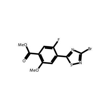 COC(=O)c1cc(F)c(-c2nc(Br)ns2)cc1OC